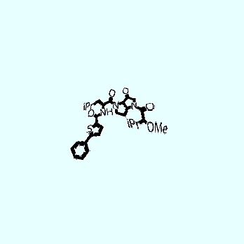 COC(C(=O)N1CC(=O)C2C1CCN2C(=O)C(CC(C)C)NC(=O)c1ccc(-c2ccccc2)s1)C(C)C